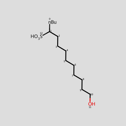 CCCCC(CCCCCCCCCO)S(=O)(=O)O